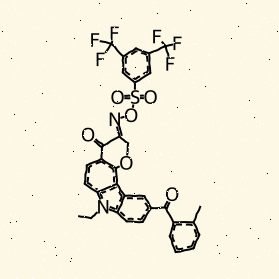 CCn1c2ccc(C(=O)c3ccccc3C)cc2c2c3c(ccc21)C(=O)/C(=N/OS(=O)(=O)c1cc(C(F)(F)F)cc(C(F)(F)F)c1)CO3